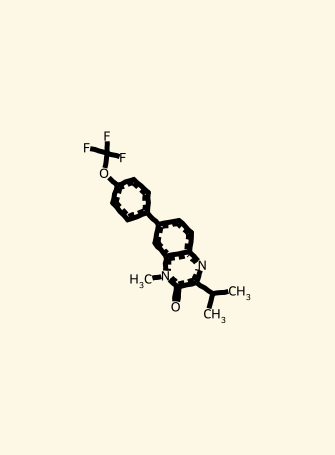 CC(C)c1nc2ccc(-c3ccc(OC(F)(F)F)cc3)cc2n(C)c1=O